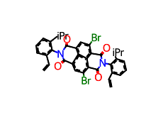 C=Cc1cccc(C(C)C)c1N1C(=O)c2cc(Br)c3c4c(c(Br)cc(c24)C1=O)C(=O)N(c1c(C=C)cccc1C(C)C)C3=O